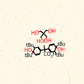 CC(C(=O)O)(C1=CC(C(C)(C)C)C(O)(C(C)(C)C)C=C1)C1=CC(C(C)(C)C)C(O)(C(C)(C)C)C=C1.OCC(CO)(CO)CO